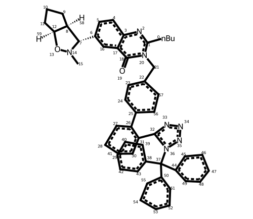 CCCCc1nc2ccc([C@H]3[C@@H]4CCC[C@@H]4ON3C)cc2c(=O)n1Cc1ccc(-c2ccccc2-c2nnnn2C(c2ccccc2)(c2ccccc2)c2ccccc2)cc1